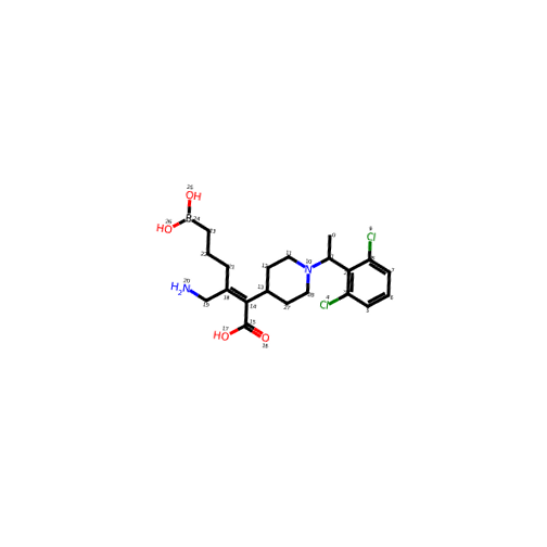 CC(c1c(Cl)cccc1Cl)N1CCC(/C(C(=O)O)=C(/CN)CCCB(O)O)CC1